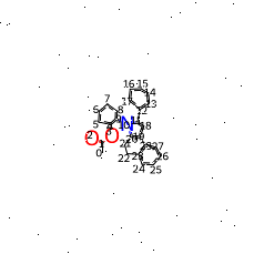 CC(=O)Oc1ccccc1-n1c(-c2ccccc2)cc2c1CCc1ccccc1-2